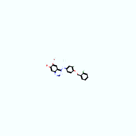 COc1cc2ncnc(Nc3ccc(OCc4ccccc4Br)c(Cl)c3)c2cc1OC.Cl